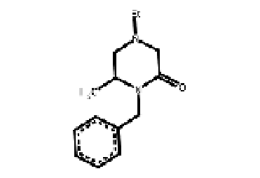 CCN1CC(=O)N(Cc2ccccc2)C(C)C1